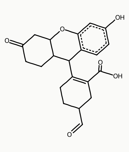 O=CC1CCC(C2c3ccc(O)cc3OC3CC(=O)CCC32)=C(C(=O)O)C1